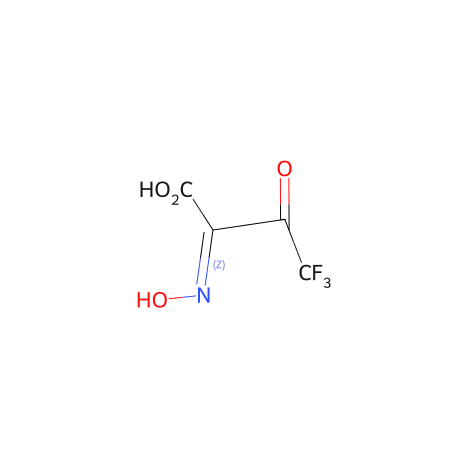 O=C(O)/C(=N\O)C(=O)C(F)(F)F